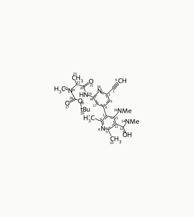 C#Cc1cc(-c2c(C)nc(C)c(C(O)NC)c2NC)cc(NC(=O)C(C)N(C)C(=O)OC(C)(C)C)n1